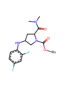 CN(C)C(=O)C1CC(Nc2ccc(F)cc2F)CN1C(=O)OC(C)(C)C